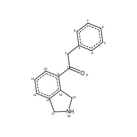 O=C([CH]c1ccccc1)c1cccc2c1CNC2